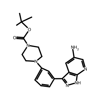 CC(C)(C)OC(=O)N1CCN(c2cccc(-c3n[nH]c4ncc(N)cc34)c2)CC1